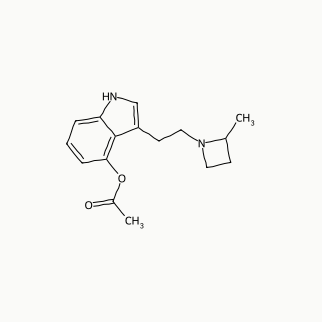 CC(=O)Oc1cccc2[nH]cc(CCN3CCC3C)c12